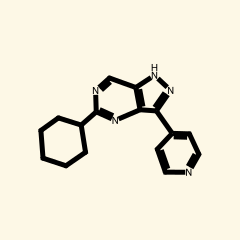 c1cc(-c2n[nH]c3cnc(C4CCCCC4)nc23)ccn1